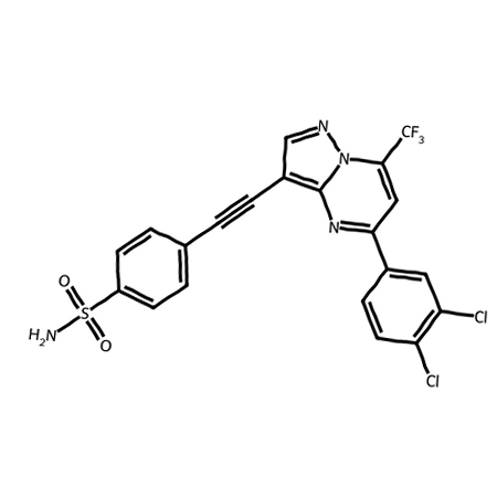 NS(=O)(=O)c1ccc(C#Cc2cnn3c(C(F)(F)F)cc(-c4ccc(Cl)c(Cl)c4)nc23)cc1